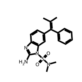 CC(C)=C(c1ccccc1)c1ccc2nc(N)n(S(=O)(=O)N(C)C)c2c1